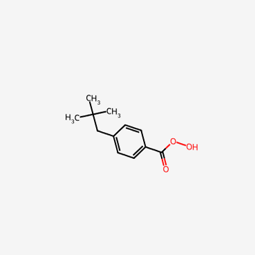 CC(C)(C)Cc1ccc(C(=O)OO)cc1